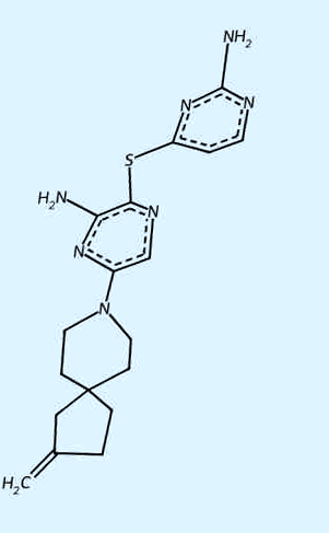 C=C1CCC2(CCN(c3cnc(Sc4ccnc(N)n4)c(N)n3)CC2)C1